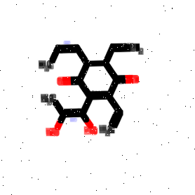 C=CC1=C(/C(O)=C(\C)O)C(=O)C(/C=C\C)C(C=C)C1=O